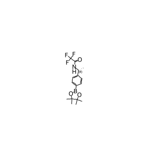 C[C@@H](NC(=O)C(F)(F)F)c1ccc(B2OC(C)(C)C(C)(C)O2)cc1